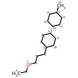 CCOCCCC1CCC([C@H]2CC[C@H](C)CC2)CC1